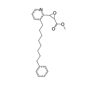 COC(=O)C1OC1c1ncccc1CCCCCCCCc1ccccc1